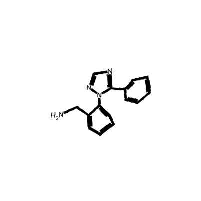 NCc1ccccc1-n1ncnc1-c1ccccc1